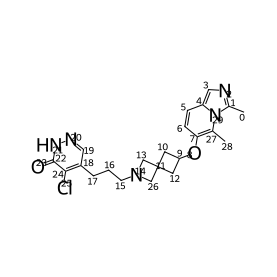 Cc1ncc2ccc(OC3CC4(C3)CN(CCCc3cn[nH]c(=O)c3Cl)C4)c(C)n12